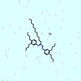 CCCCCCCCCCCCC(C=Nc1ccc(CCCC)c(CCCC)c1)=Nc1ccc(CCCC)c(CCCC)c1.[Ni]